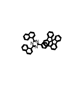 c1ccc2c(c1)-c1ccccc1C21c2ccccc2-c2cccc(-c3ccc(-c4nc(-c5cccc6ccccc56)nc(-c5cccc6ccccc56)n4)cc3)c21